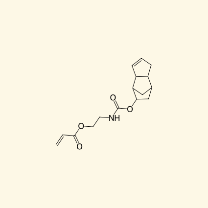 C=CC(=O)OCCNC(=O)OC1CC2CC1C1C=CCC21